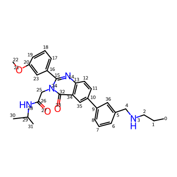 CCCNCc1cccc(-c2ccc3nc(-c4cccc(OC)c4)n(CC(=O)NC(C)C)c(=O)c3c2)c1